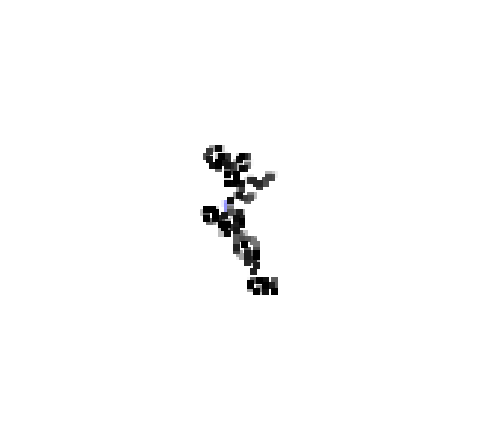 O=C1N=C(N2CCN(CCO)CC2)S/C1=C\c1ccc(F)cc1OC(=O)N1CCCC1